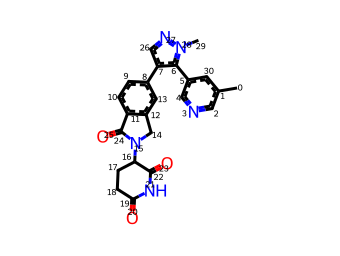 Cc1cncc(-c2c(-c3ccc4c(c3)CN(C3CCC(=O)NC3=O)C4=O)cnn2C)c1